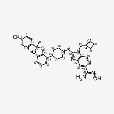 CC1(c2ccc(Cl)cn2)Oc2cccc(C3CCN(Cc4nc5cc(/C(N)=N/O)ncc5n4C[C@@H]4CCO4)CC3)c2O1